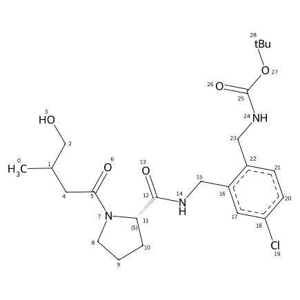 CC(CO)CC(=O)N1CCC[C@H]1C(=O)NCc1cc(Cl)ccc1CNC(=O)OC(C)(C)C